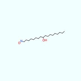 CCCCCCCCCC(O)CCCCCCCCN=O